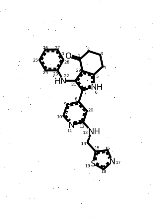 O=C1CCCc2[nH]c(-c3ccnc(NCc4cncs4)c3)c(Nc3ccccc3)c21